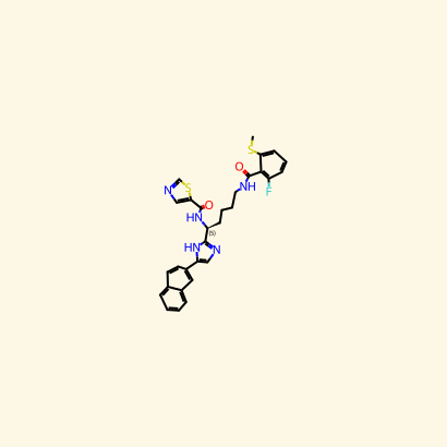 CSc1cccc(F)c1C(=O)NCCCC[C@H](NC(=O)c1cncs1)c1ncc(-c2ccc3ccccc3c2)[nH]1